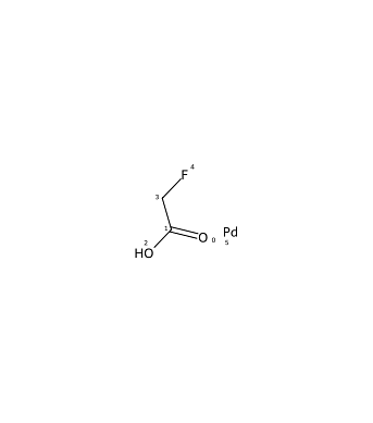 O=C(O)CF.[Pd]